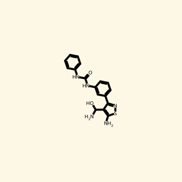 Nc1snc(-c2cccc(NC(=O)Nc3ccccc3)c2)c1C(N)O